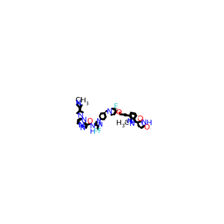 CN1CC(C2CN(c3ccn4ncc(C(=O)Nc5cn([C@H]6CC[C@H](CN7CC=C(OCC#Cc8cccc9c(C%10CCC(=O)NC%10=O)nn(C)c89)[C@H](F)C7)CC6)nc5C(F)F)c4n3)C2)C1